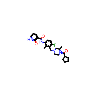 Cc1c(NC(=O)c2ccc[nH]c2=O)ccc(F)c1CN1CCN(C(=O)C2CCCC2)C(C)C1